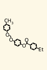 CCc1ccc(C(=O)Oc2ccc(OCOc3ccc(C)cc3)cc2)cc1